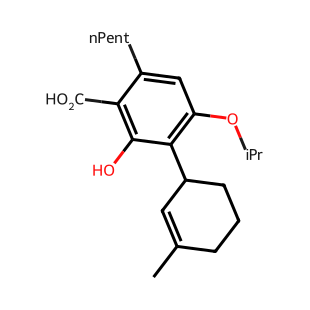 CCCCCc1cc(OC(C)C)c(C2C=C(C)CCC2)c(O)c1C(=O)O